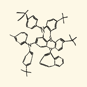 Cc1ccc(N(c2ccc(C(C)(C)C)cc2)c2cc3c4c(c2)N(c2cccc5ccccc25)c2ccc(C(C)(C)C)cc2B4c2cc(C(C)(C)C)ccc2N3c2ccc(C(C)(C)C)cc2)cc1